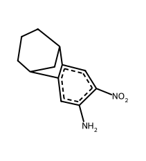 Nc1cc2c(cc1[N+](=O)[O-])C1CCCC2C1